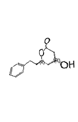 O=C1C[C@H](O)C[C@@H](CCc2ccccc2)O1